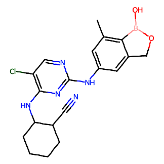 Cc1cc(Nc2ncc(Cl)c(NC3CCCCC3C#N)n2)cc2c1B(O)OC2